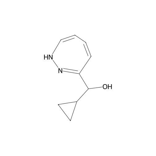 OC(C1=NNC=CC=C1)C1CC1